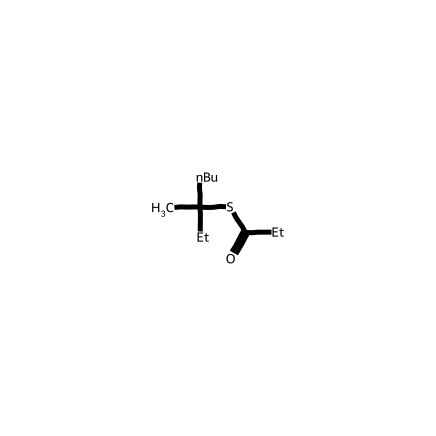 CCCCC(C)(CC)SC(=O)CC